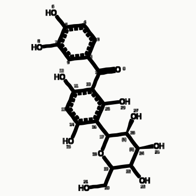 O=C(c1ccc(O)c(O)c1)c1c(O)cc(O)c(C2OC(CO)C(O)[C@H](O)[C@@H]2O)c1O